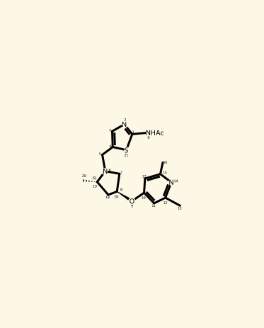 CC(=O)Nc1ncc(CN2C[C@@H](Oc3cc(C)nc(C)c3)C[C@@H]2C)s1